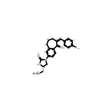 CC(=O)NC[C@H]1CN(c2ccc3c(c2)CCCC(=Cc2ccc(F)cc2)C3=O)C(=O)O1